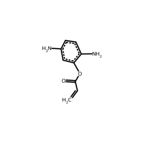 C=CC(=O)Oc1cc(N)ccc1N